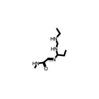 CCNCNC(CC)/N=C/C(=O)NC